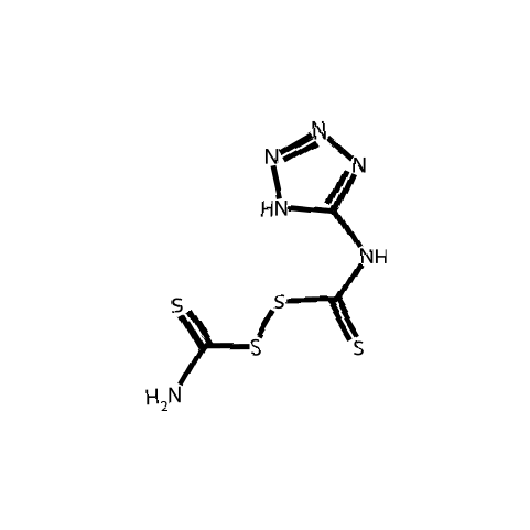 NC(=S)SSC(=S)Nc1nnn[nH]1